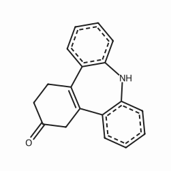 O=C1CCC2=C(C1)c1ccccc1Nc1ccccc12